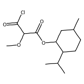 COC(C(=O)Cl)C(=O)OC1CC(C)CCC1C(C)C